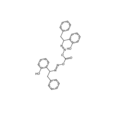 O=C(ON=NC(Cc1ccccc1)c1ccccc1O)ON=NC(Cc1ccccc1)c1ccccc1O